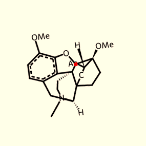 COc1ccc2c3c1OC1[C@]34CCN(C)[C@H](C2)C42CC[C@]1(OC)[C@@H](C(C)=O)C2